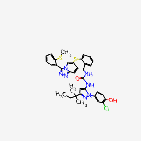 CCC(C)(C)c1cc(NC(=O)NCc2ccccc2Sc2ccc3nnc(-c4ccccc4SC)n3c2)n(-c2ccc(O)c(Cl)c2)n1